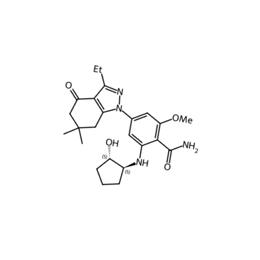 CCc1nn(-c2cc(N[C@H]3CCC[C@@H]3O)c(C(N)=O)c(OC)c2)c2c1C(=O)CC(C)(C)C2